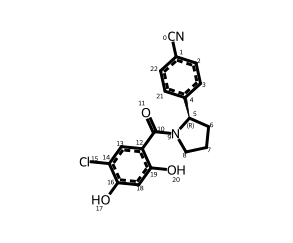 N#Cc1ccc([C@H]2CCCN2C(=O)c2cc(Cl)c(O)cc2O)cc1